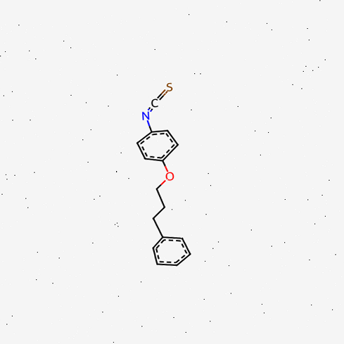 S=C=Nc1ccc(OCCCc2ccccc2)cc1